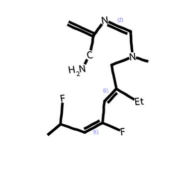 C=C(CN)/N=C\N(C)C/C(=C/C(F)=C\C(C)F)CC